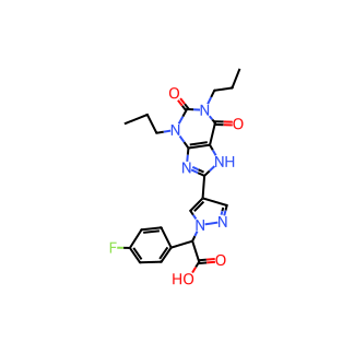 CCCn1c(=O)c2[nH]c(-c3cnn(C(C(=O)O)c4ccc(F)cc4)c3)nc2n(CCC)c1=O